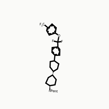 CCCCC[C@H]1CC[C@H](C2CCC(c3ccc(C(F)(F)Oc4ccc(C(F)(F)F)cc4)cc3)CC2)CC1